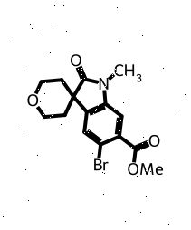 COC(=O)c1cc2c(cc1Br)C1(CCOCC1)C(=O)N2C